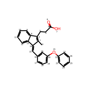 CC1=C(CCC(=O)O)c2ccccc2/C1=C/c1cccc(Oc2ccccc2)c1